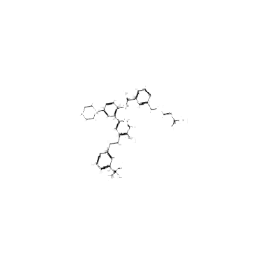 O=C(O)CCSCc1cccc(C(=O)Nc2ccc(N3CCCCC3)cc2-c2cc(CCc3cccc(C(F)(F)F)c3)c(Cl)cn2)c1